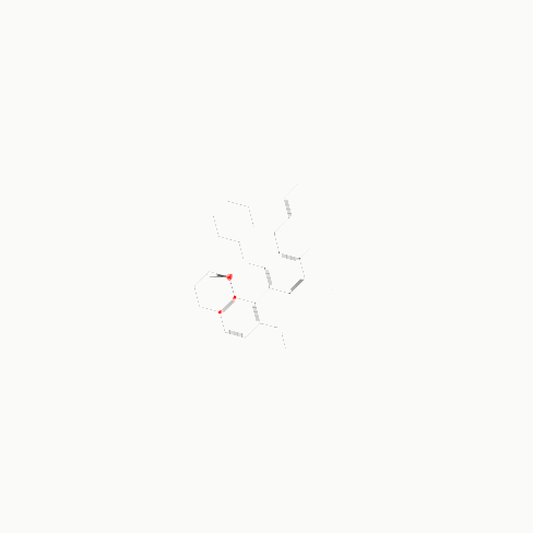 CC=CCc1c(Cl)ccc(-c2c(OC)cccc2OC)c1P(C1CCCCC1)C1CCCCC1.[Pd+2]